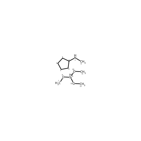 CNC1CCCC1.CO[SiH](OC)OC